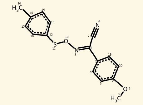 COc1ccc(C(C#N)=NOSc2ccc(C)cc2)cc1